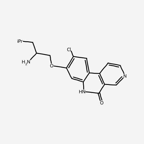 CC(C)CC(N)COc1cc2[nH]c(=O)c3cnccc3c2cc1Cl